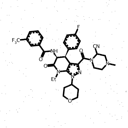 CCN1C(=O)[C@@H](NC(=O)c2cccc(C(F)(F)F)c2)[C@@H](c2ccc(F)cc2)c2c(C(=O)N3CCN(C)CC3C#N)nn(C3CCOCC3)c21